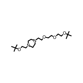 CC(C)(C)OCCOCCOCCN1CCN(CCOC(C)(C)C)CC1